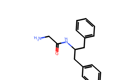 NCC(=O)NC(Cc1ccccc1)Cc1ccccc1